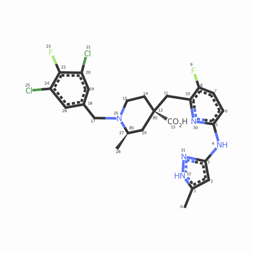 Cc1cc(Nc2ccc(F)c(C[C@@]3(C(=O)O)CCN(Cc4cc(Cl)c(F)c(Cl)c4)[C@H](C)C3)n2)n[nH]1